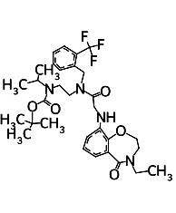 CCN1CCOc2c(NCC(=O)N(CCN(C(=O)OC(C)(C)C)C(C)C)Cc3ccccc3C(F)(F)F)cccc2C1=O